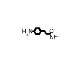 [NH]C(=O)CCc1ccc(N)cc1